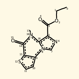 CCOC(=O)c1ncn2c3ccsc3c(=O)n(C)c12